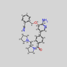 N#Cc1ccccc1COc1cc(-c2ccc(C(=O)N3CCC[C@H]3CN3CCCC3)cc2)cnc1N